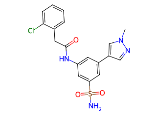 Cn1cc(-c2cc(NC(=O)Cc3ccccc3Cl)cc(S(N)(=O)=O)c2)cn1